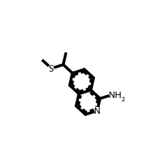 CSC(C)c1ccc2c(N)nccc2c1